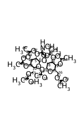 CNC(=O)O[C@@H]1[C@H](O[C@H]2[C@@H](OC(C)=O)O[C@H](COC(C)=O)[C@H](OC(C)=O)[C@H]2OC(C)=O)O[C@H](COC(C)=O)[C@@H](OC(C)=O)[C@@H]1OC(C)=O